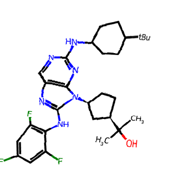 CC(C)(C)C1CCC(Nc2ncc3nc(Nc4c(F)cc(F)cc4F)n([C@H]4CC[C@@H](C(C)(C)O)C4)c3n2)CC1